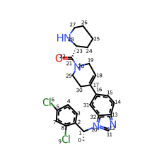 C[C@H](c1ccc(Cl)cc1Cl)n1cnc2ccc(C3=CCN(C(=O)[C@H]4CCCCN4)CC3)cc21